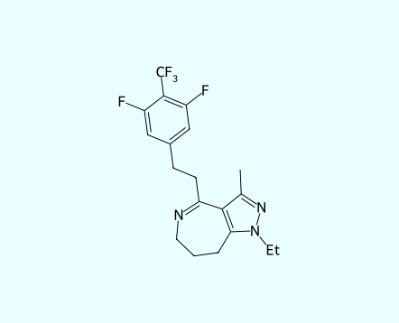 CCn1nc(C)c2c1CCCN=C2CCc1cc(F)c(C(F)(F)F)c(F)c1